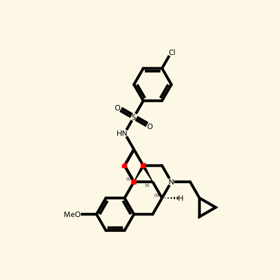 COc1ccc2c(c1)[C@@]13CCN(CC4CC4)[C@@H](C2)[C@]12CCC(NS(=O)(=O)c1ccc(Cl)cc1)(CO2)C3